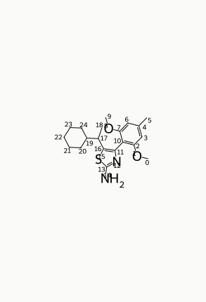 COc1cc(C)cc(OC)c1-c1nc(N)sc1C(C)C1CCCCC1